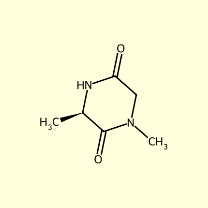 C[C@H]1NC(=O)CN(C)C1=O